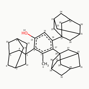 Cc1c(C23CC4CC(CC(C4)C2)C3)c(O)cc(C23CC4CC(CC(C4)C2)C3)c1C12CC3CC(CC(C3)C1)C2